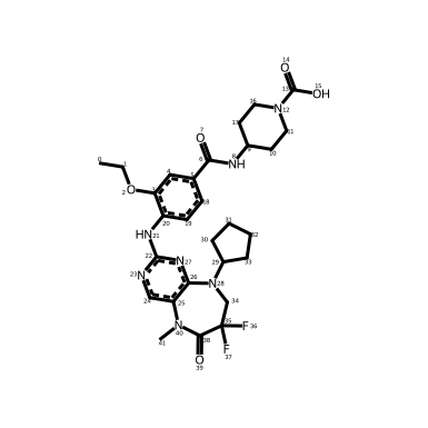 CCOc1cc(C(=O)NC2CCN(C(=O)O)CC2)ccc1Nc1ncc2c(n1)N(C1CCCC1)CC(F)(F)C(=O)N2C